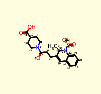 C[C@@H]1C(CCC(=O)N2CCC(C(=O)O)CC2)=Cc2ccccc2N1[SH](=O)=O